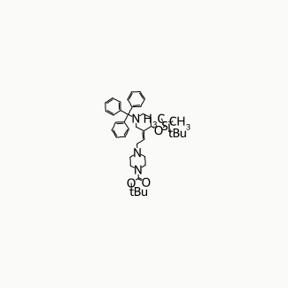 CC(C)(C)OC(=O)N1CCN(C/C=C2\CN(C(c3ccccc3)(c3ccccc3)c3ccccc3)CCC2O[Si](C)(C)C(C)(C)C)CC1